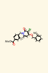 COC(=O)c1ccc(Cn2c(C)cc(OCc3ccccc3C#N)c(Br)c2=O)cc1